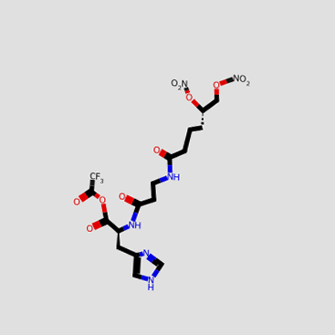 O=C(CCC[C@@H](CO[N+](=O)[O-])O[N+](=O)[O-])NCCC(=O)N[C@@H](Cc1c[nH]cn1)C(=O)OC(=O)C(F)(F)F